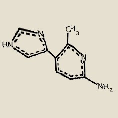 Cc1nc(N)ccc1-c1c[nH]cn1